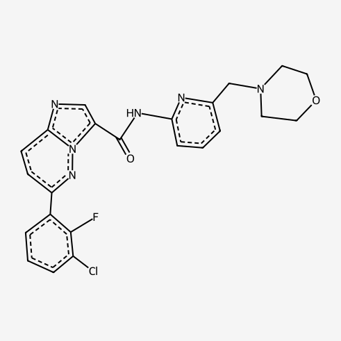 O=C(Nc1cccc(CN2CCOCC2)n1)c1cnc2ccc(-c3cccc(Cl)c3F)nn12